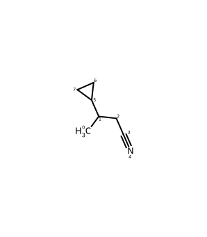 CC(CC#N)C1CC1